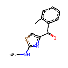 [CH2]CCNc1nc(C(=O)c2ccccc2C)cs1